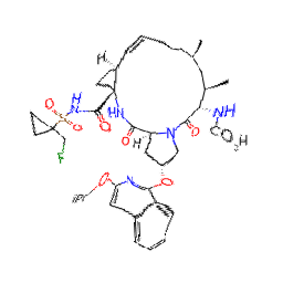 CC(C)Oc1cc2ccccc2c(O[C@@H]2C[C@H]3C(=O)N[C@]4(C(=O)NS(=O)(=O)C5(CF)CC5)C[C@H]4C=CCC[C@@H](C)C[C@@H](C)[C@H](NC(=O)O)C(=O)N3C2)n1